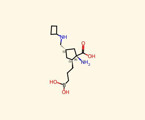 N[C@]1(C(=O)O)C[C@@H](CNC2CCC2)C[C@@H]1CCCB(O)O